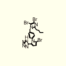 CCCCc1nc(Br)c(Br)n1Cc1ccc(-n2c(Br)ccc2-c2nnn[nH]2)cc1